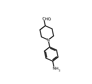 Nc1ccc(N2CCC(C=O)CC2)cc1